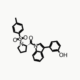 Cc1ccc(S(=O)(=O)N2CCC[C@H]2C(=O)n2cc(-c3cccc(O)c3)c3ccccc32)cc1